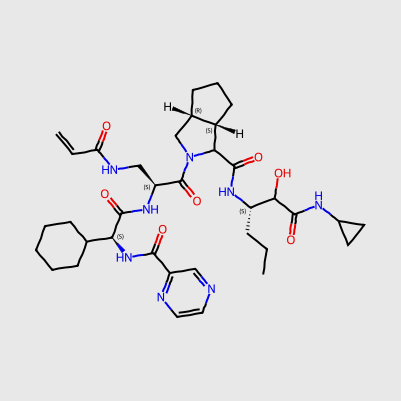 C=CC(=O)NC[C@H](NC(=O)[C@@H](NC(=O)c1cnccn1)C1CCCCC1)C(=O)N1C[C@@H]2CCC[C@@H]2C1C(=O)N[C@@H](CCC)C(O)C(=O)NC1CC1